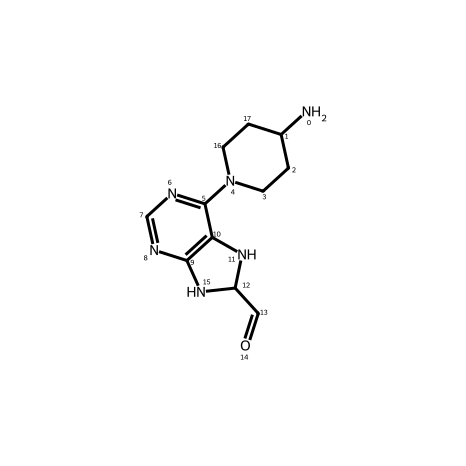 NC1CCN(c2ncnc3c2NC(C=O)N3)CC1